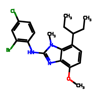 CCC(CC)c1ccc(OC)c2nc(Nc3ccc(Cl)cc3Br)n(C)c12